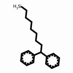 [SiH3]CCCCCCCC(c1ccccc1)c1ccccc1